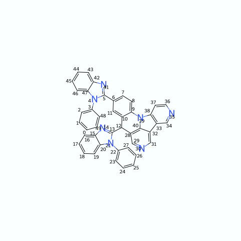 c1ccc(-n2c(-c3ccc4c(c3)C(c3nc5ccccc5n3-c3ccccc3)c3cncc5c6cnccc6n-4c35)nc3ccccc32)cc1